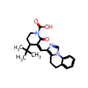 CC(C)(C)C1CCN(C(=O)O)C(=O)C1=Cc1ncn2c1CCc1ccccc1-2